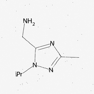 Cc1nc(CN)n(C(C)C)n1